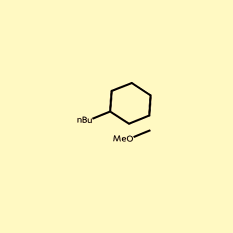 CCCCC1CCCCC1.COC